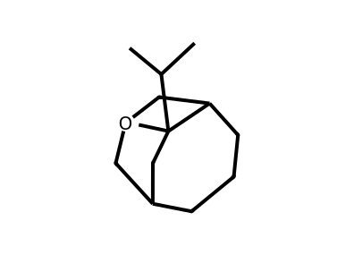 CC(C)C1(C)CC2CCCC1COC2